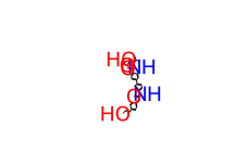 CC(C)[C@H](NC(=O)c1ccc(-c2ccc(NC(=O)Cc3ccc(CCO)cc3)cc2)cc1)C(=O)O